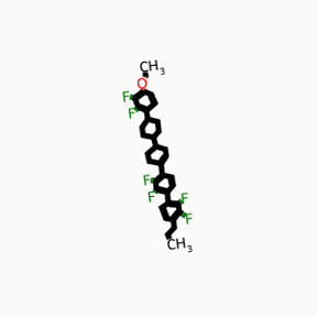 CCCc1ccc(-c2ccc(C3=CCC(C4CCC(c5ccc(OCC)c(F)c5F)CC4)CC3)c(F)c2F)c(F)c1F